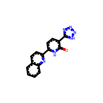 O=c1[nH]c(-c2ccc3ccccc3n2)ccc1-c1nnn[nH]1